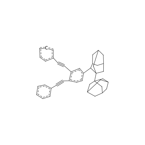 C(#Cc1ccc(C2C3CC4CC(C3)CC2(C23CC5CC(CC(C5)C2)C3)C4)cc1C#Cc1ccccc1)c1ccccc1